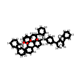 c1ccc(-c2ccccc2-n2c3ccccc3c3ccccc32)c(-c2ccc(N(c3ccc(-c4cccc5c4oc4ccccc45)cc3)c3ccccc3-c3ccc4ccccc4c3)cc2)c1